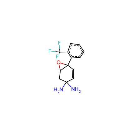 NC1(N)C=CC2(c3ccccc3C(F)(F)F)OC2C1